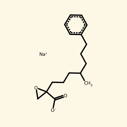 CC(CCCc1ccccc1)CCCC1(C(=O)[O-])CO1.[Na+]